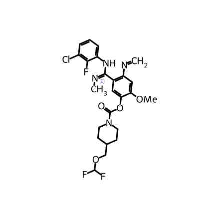 C=Nc1cc(OC)c(OC(=O)N2CCC(COC(F)F)CC2)cc1/C(=N\C)Nc1cccc(Cl)c1F